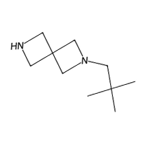 CC(C)(C)CN1CC2(CNC2)C1